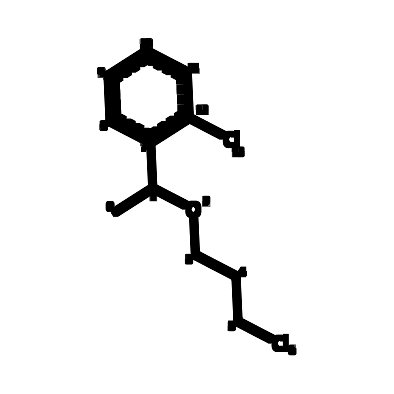 CC(OCCCCl)c1ccccc1Cl